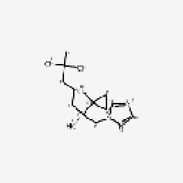 CC(Cl)(Cl)CCC[C@](O)(Cn1cncn1)C1(Cl)CC1